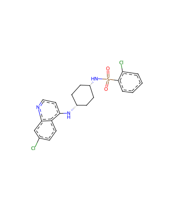 O=S(=O)(N[C@H]1CC[C@@H](Nc2ccnc3cc(Cl)ccc23)CC1)c1ccccc1Cl